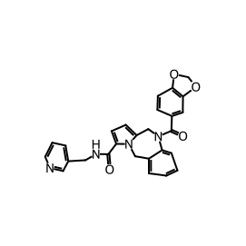 O=C(NCc1cccnc1)c1ccc2n1Cc1ccccc1N(C(=O)c1ccc3c(c1)OCO3)C2